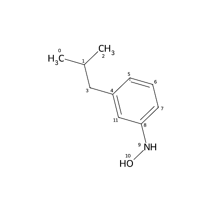 CC(C)Cc1[c]ccc(NO)c1